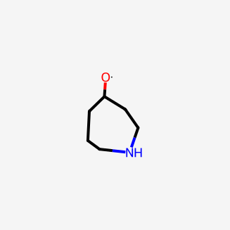 [O]C1CCCNCC1